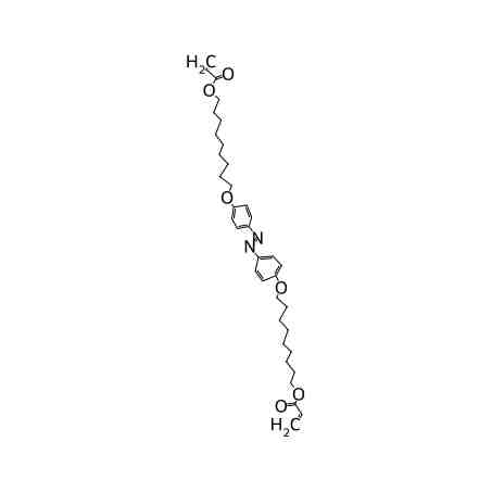 C=CC(=O)OCCCCCCCCCOc1ccc(N=Nc2ccc(OCCCCCCCCCOC(=O)C=C)cc2)cc1